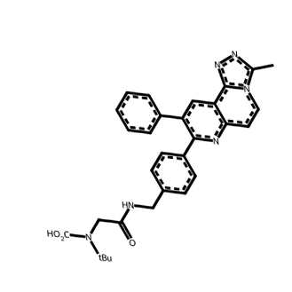 Cc1nnc2c3cc(-c4ccccc4)c(-c4ccc(CNC(=O)CN(C(=O)O)C(C)(C)C)cc4)nc3ccn12